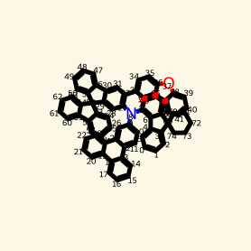 c1ccc2c(c1)-c1c(N(c3ccc4c5ccccc5c5ccccc5c4c3)c3cc4c(cc3-c3ccc5oc6ccccc6c5c3)-c3ccccc3C43c4ccccc4-c4ccccc43)cccc1C21CCCCC1